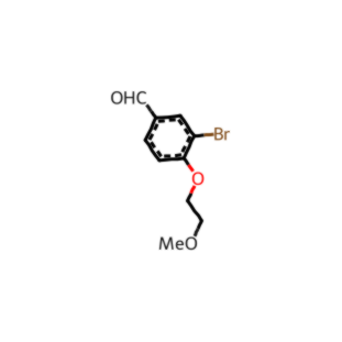 COCCOc1ccc(C=O)cc1Br